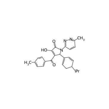 Cc1ccc(C(=O)C2=C(O)C(=O)N(c3ccc(C)nn3)C2C2=CCC(C(C)C)C=C2)cc1